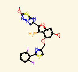 COc1cc(OCc2csc(-c3c(I)cccc3I)n2)c2c(P)c(-c3cn4nc(OC)sc4n3)oc2c1